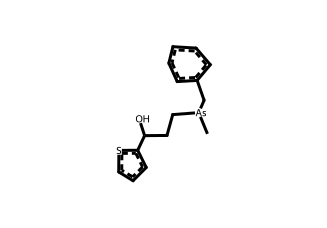 C[As](CCC(O)c1cccs1)Cc1ccccc1